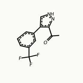 CC(=O)c1n[nH]cc1-c1cccc(C(F)(F)F)c1